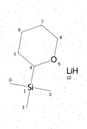 C[Si](C)(C)C1CCCCO1.[LiH]